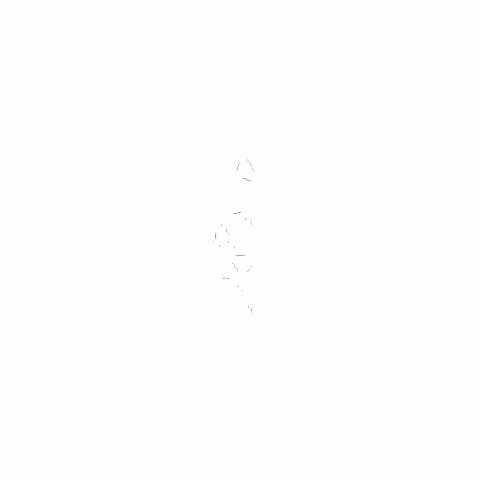 CC(=O)N1CCN(C(=O)c2cccc(-n3ncnc3[C@H]3CCCCN3C(=O)COc3ccccc3)c2)CC1